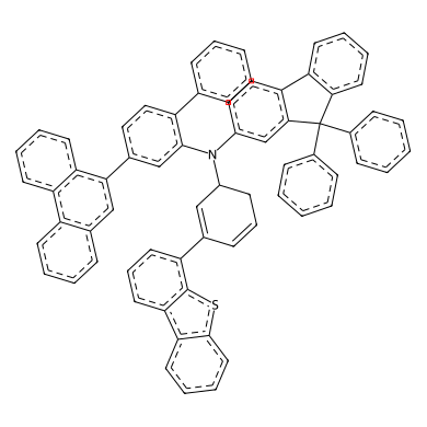 C1=CC(c2cccc3c2sc2ccccc23)=CC(N(c2ccc3c(c2)C(c2ccccc2)(c2ccccc2)c2ccccc2-3)c2cc(-c3cc4ccccc4c4ccccc34)ccc2-c2ccccc2)C1